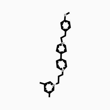 COc1ccc(CC[n+]2ccc(-c3cc[n+](CCC[n+]4cc(C)cc(C)c4)cc3)cc2)cc1